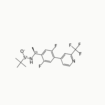 C[C@H](N[S+]([O-])C(C)(C)C)c1cc(F)c(-c2ccnc(C(F)(F)F)c2)cc1F